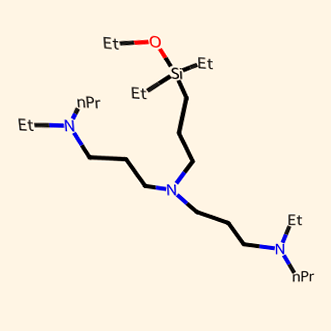 CCCN(CC)CCCN(CCCN(CC)CCC)CCC[Si](CC)(CC)OCC